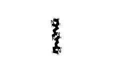 C(=C\c1cnc(/C=C/c2cccnc2)cn1)/c1cccnc1